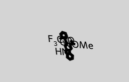 COC(=O)C1Cc2c([nH]c3ccccc23)CN1S(=O)(=O)c1ccccc1C(F)(F)F